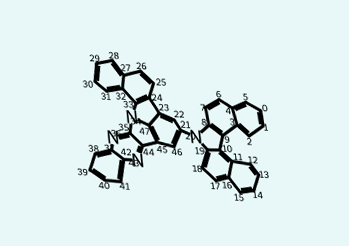 c1ccc2c(c1)ccc1c2c2c3ccccc3ccc2n1-c1cc2c3ccc4ccccc4c3n3c4nc5ccccc5nc4c(c1)c23